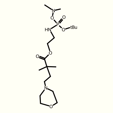 CN(C)OP(=O)(NCCOC(=O)C(C)(C)CCN1CCOCC1)OC(C)(C)C